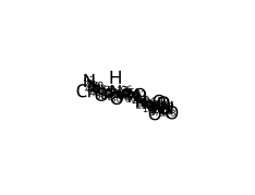 CN1C(=O)CCC(N2C(=O)c3cc4c(cc3C2=O)CN(CC(=O)N2Cc3ccc(C(=O)N[C@H]5CC[C@H](Oc6ccc(C#N)c(Cl)c6)CC5)cc3C2)C4)C1=O